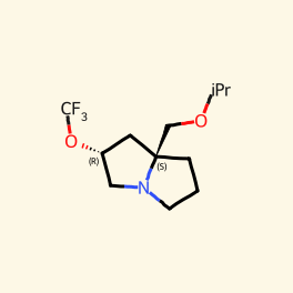 CC(C)OC[C@@]12CCCN1C[C@H](OC(F)(F)F)C2